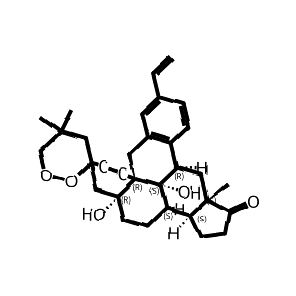 C=Cc1ccc2c(c1)C[C@]13CCC4(CC(C)(C)COO4)C[C@]1(O)CC[C@H]1[C@@H]4CCC(=O)[C@@]4(C)C[C@H]2[C@@]13O